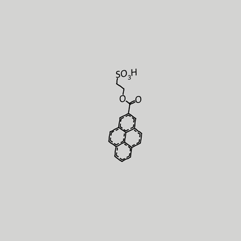 O=C(OCCS(=O)(=O)O)c1cc2ccc3cccc4ccc(c1)c2c34